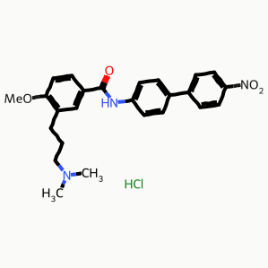 COc1ccc(C(=O)Nc2ccc(-c3ccc([N+](=O)[O-])cc3)cc2)cc1CCCN(C)C.Cl